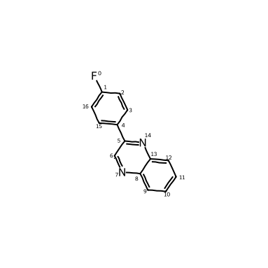 Fc1ccc(-c2[c]nc3ccccc3n2)cc1